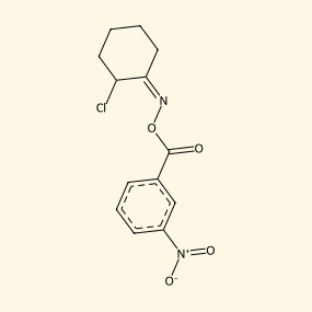 O=C(ON=C1CCCCC1Cl)c1cccc([N+](=O)[O-])c1